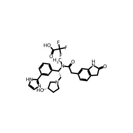 CN(C(=O)Cc1ccc2c(c1)NC(=O)C2)[C@H](CN1CC[C@H](O)C1)c1cccc(-c2ncc[nH]2)c1.O=C(O)C(F)(F)F